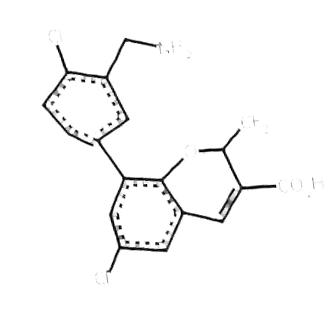 NCc1cc(-c2cc(Cl)cc3c2OC(C(F)(F)F)C(C(=O)O)=C3)ccc1Cl